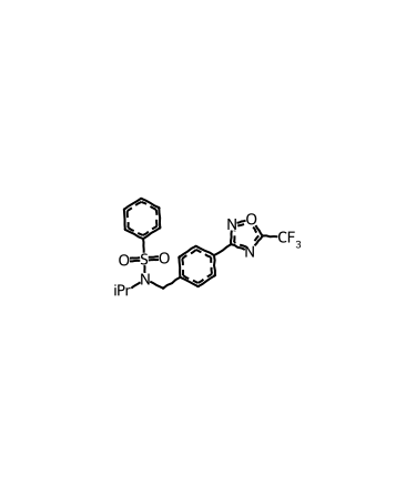 CC(C)N(Cc1ccc(-c2noc(C(F)(F)F)n2)cc1)S(=O)(=O)c1ccccc1